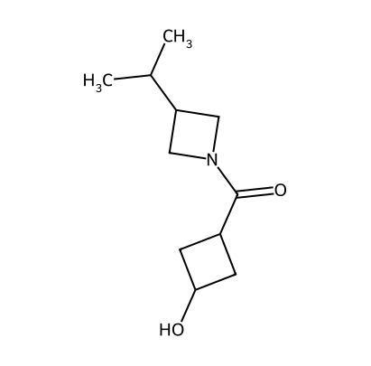 CC(C)C1CN(C(=O)C2CC(O)C2)C1